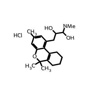 CNC(O)C(O)Cc1cc(C)cc2c1C1=C(CCCC1)C(C)(C)O2.Cl